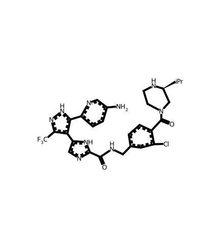 CC(C)[C@H]1CN(C(=O)c2ccc(CNC(=O)c3ncc(-c4c(C(F)(F)F)n[nH]c4-c4ccc(N)cn4)[nH]3)cc2Cl)CCN1